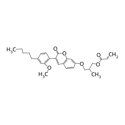 C=CC(=O)OCC(C)COc1ccc2cc(-c3ccc(CCCCC)cc3OC)c(=O)oc2c1